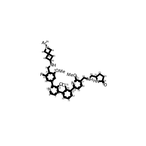 COc1cc(-c2nccc(-c3cccc(-c4ccc(CNCC5CCC(=O)N5)c(OC)n4)c3Cl)c2Cl)cc(F)c1CNC1CC2(C1)CN(C(C)=O)C2